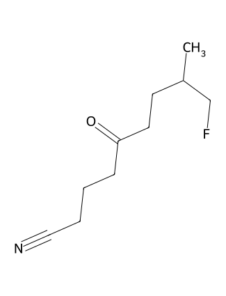 CC(CF)CCC(=O)CCCC#N